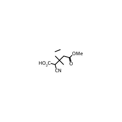 CC.COC(=O)CC(C)(C)C(C#N)C(=O)O